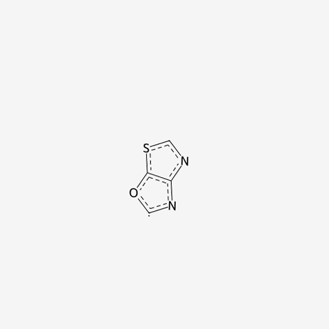 [c]1nc2ncsc2o1